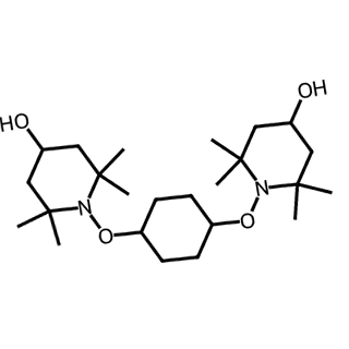 CC1(C)CC(O)CC(C)(C)N1OC1CCC(ON2C(C)(C)CC(O)CC2(C)C)CC1